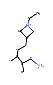 CC(C)CN1CC(CCC(C)C(C)CN)C1